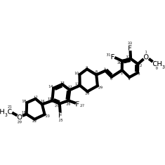 COC1=CCC(/C=C/C2CCC(c3ccc(C4CCC(OC)CC4)c(F)c3F)CC2)C(F)=C1F